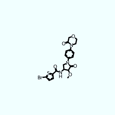 COC1C(=O)N(c2ccc(N3CCOCC3=O)cc2)CC1NC(=O)c1ccc(Br)s1